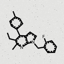 CCc1c(C)nc2c(ccn2Cc2ccccc2F)c1-c1ccc(C)cc1